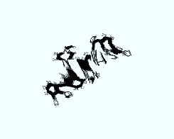 CCN1CCN(c2cc(C3C=CC=CC3=O)ccc2-n2cc(CNC(=O)c3ccc(Cl)s3)nn2)CC1